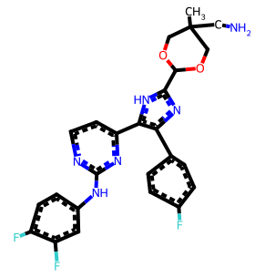 CC1(CN)COC(c2nc(-c3ccc(F)cc3)c(-c3ccnc(Nc4ccc(F)c(F)c4)n3)[nH]2)OC1